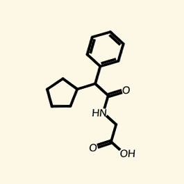 O=C(O)CNC(=O)C(c1ccccc1)C1CCCC1